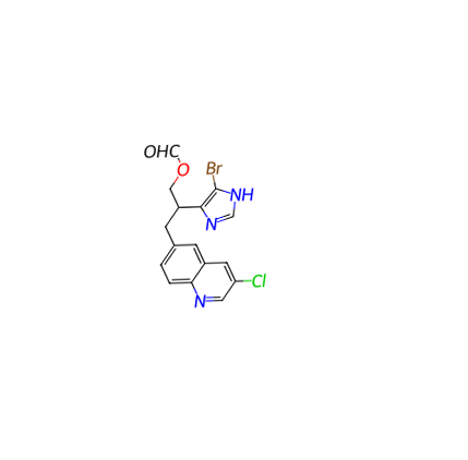 O=COCC(Cc1ccc2ncc(Cl)cc2c1)c1nc[nH]c1Br